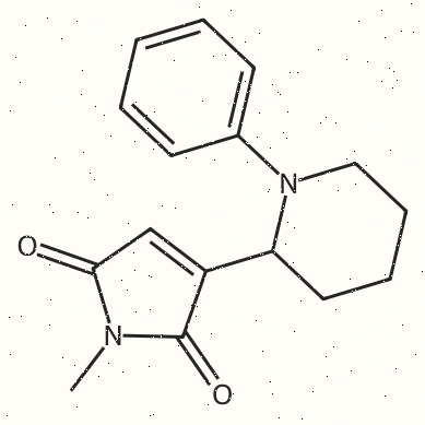 CN1C(=O)C=C(C2CCCCN2c2ccccc2)C1=O